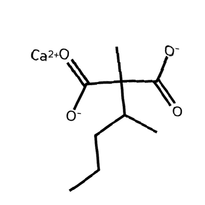 CCCC(C)C(C)(C(=O)[O-])C(=O)[O-].[Ca+2]